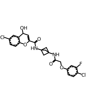 O=C(COc1ccc(Cl)c(F)c1)NC12CC(NC(=O)C3=CC(O)c4cc(Cl)ccc4O3)(C1)C2